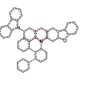 c1ccc(-c2ccccc2-c2c(-c3ccccc3)cccc2N(c2ccc(-n3c4ccccc4c4ccccc43)cc2)c2ccc3c(c2)oc2ccccc23)cc1